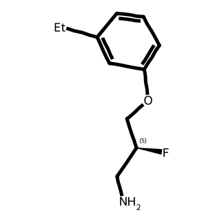 CCc1cccc(OC[C@@H](F)CN)c1